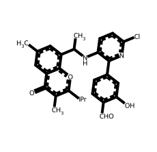 Cc1cc(C(C)Nc2ccc(Cl)nc2-c2ccc(C=O)c(O)c2)c2oc(C(C)C)c(C)c(=O)c2c1